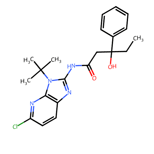 CCC(O)(CC(=O)Nc1nc2ccc(Cl)nc2n1C(C)(C)C)c1ccccc1